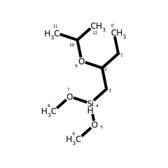 CCC(C[SiH](OC)OC)OC(C)C